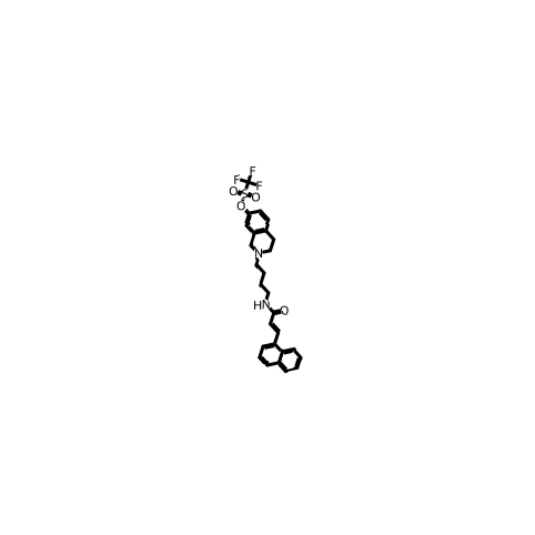 O=C(C=Cc1cccc2ccccc12)NCCCCN1CCc2ccc(OS(=O)(=O)C(F)(F)F)cc2C1